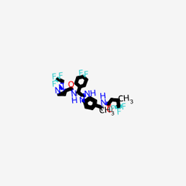 C[C@H](CC(=O)N[C@H](C)c1ccc2nc([C@@H](NC(=O)c3ccnn3CC(F)(F)F)C3CCC(F)(F)CC3)[nH]c2c1)C(F)(F)F